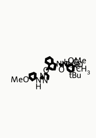 COc1cccc(Nc2nccc(Oc3ccc(NC(=O)Nc4cc(C(C)(C)C)cc(P(C)(C)=O)c4OC)c4ccccc34)n2)c1